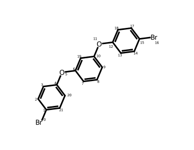 Brc1ccc(Oc2cccc(Oc3ccc(Br)cc3)c2)cc1